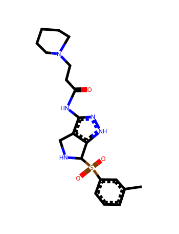 Cc1cccc(S(=O)(=O)C2NCc3c(NC(=O)CCN4CCCCC4)n[nH]c32)c1